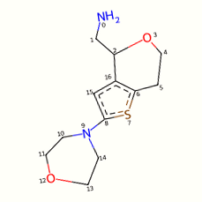 NCC1OCCc2sc(N3CCOCC3)cc21